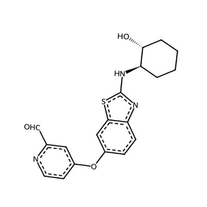 O=Cc1cc(Oc2ccc3nc(N[C@@H]4CCCC[C@H]4O)sc3c2)ccn1